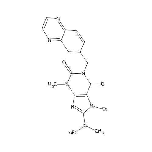 CCCN(C)c1nc2c(c(=O)n(Cc3ccc4nccnc4c3)c(=O)n2C)n1CC